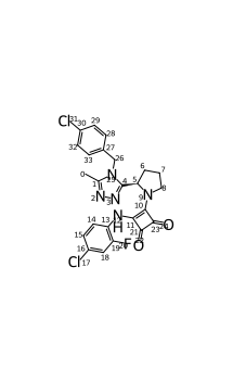 Cc1nnc([C@H]2CCCN2c2c(Nc3ccc(Cl)cc3F)c(=O)c2=O)n1Cc1ccc(Cl)cc1